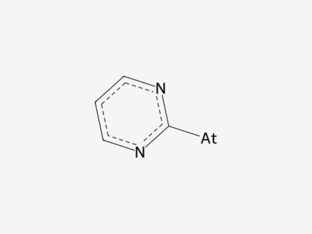 [At]c1ncccn1